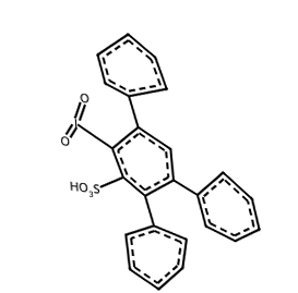 O=I(=O)c1c(-c2ccccc2)cc(-c2ccccc2)c(-c2ccccc2)c1S(=O)(=O)O